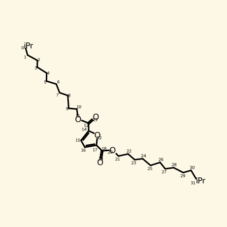 CC(C)CCCCCCCCCCOC(=O)c1ccc(C(=O)OCCCCCCCCCCC(C)C)o1